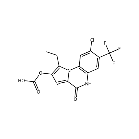 CCc1c(OC(=O)O)nc2c(=O)[nH]c3cc(C(F)(F)F)c(Cl)cc3n12